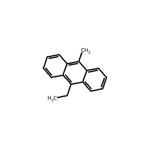 CCc1c2ccccc2c(C)c2ccccc12